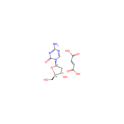 Nc1ncn([C@H]2C[C@H](O)[C@@H](CO)O2)c(=O)n1.O=C(O)C=CC(=O)O